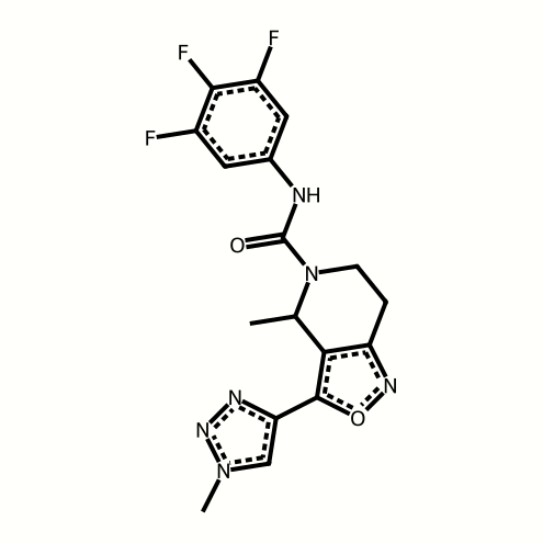 CC1c2c(noc2-c2cn(C)nn2)CCN1C(=O)Nc1cc(F)c(F)c(F)c1